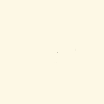 Oc1cccc2oc(Cc3cccc(C(F)(F)F)c3)nc12